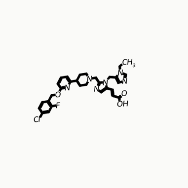 CCn1cncc1Cn1c(/C=C/C(=O)O)cnc1CN1CCC(c2cccc(OCc3ccc(Cl)cc3F)n2)CC1